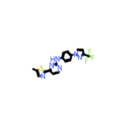 Cc1cnc(-c2ccnc(Nc3ccc(-n4ccc(C(F)(F)F)n4)cc3)n2)s1